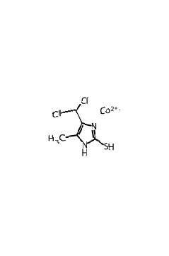 Cc1[nH]c(S)nc1C(Cl)Cl.[Co+2]